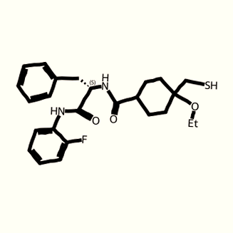 CCOC1(CS)CCC(C(=O)N[C@@H](Cc2ccccc2)C(=O)Nc2ccccc2F)CC1